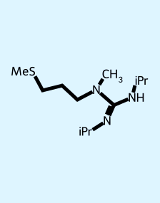 CSCCCN(C)/C(=N\C(C)C)NC(C)C